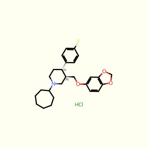 Cl.Fc1ccc([C@H]2CCN(C3CCCCCC3)C[C@@H]2COc2ccc3c(c2)OCO3)cc1